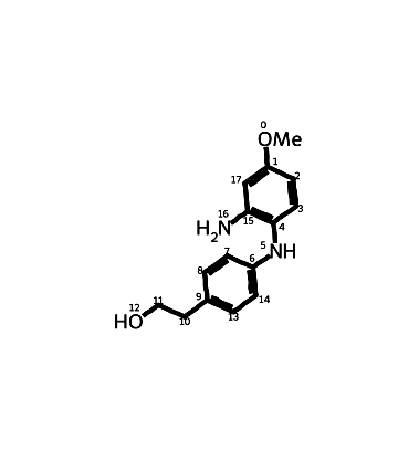 COc1ccc(Nc2ccc(CCO)cc2)c(N)c1